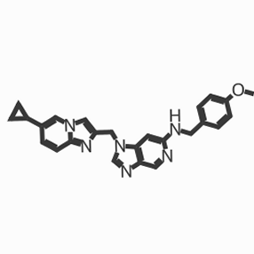 COc1ccc(CNc2cc3c(cn2)ncn3Cc2cn3cc(C4CC4)ccc3n2)cc1